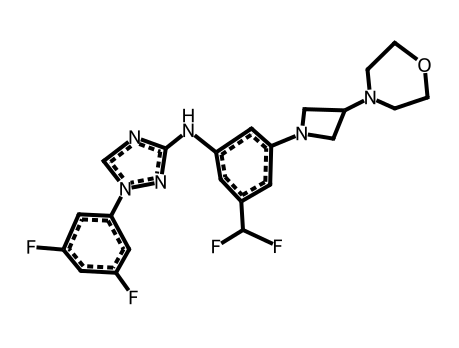 Fc1cc(F)cc(-n2cnc(Nc3cc(C(F)F)cc(N4CC(N5CCOCC5)C4)c3)n2)c1